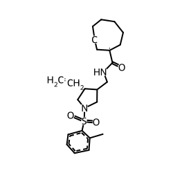 Cc1ccccc1S(=O)(=O)N1CCC(CNC(=O)[C]2CCCCCCC2)C1.[CH2].[CH2]